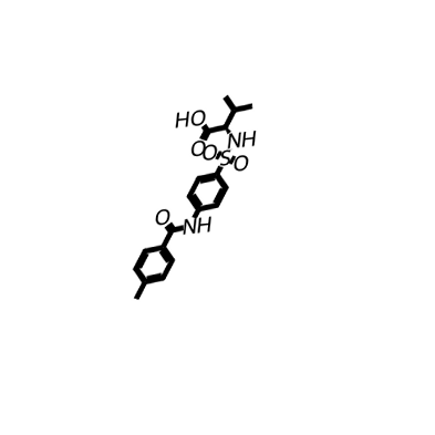 Cc1ccc(C(=O)Nc2ccc(S(=O)(=O)N[C@@H](C(=O)O)C(C)C)cc2)cc1